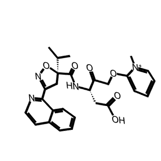 CC(C)[C@]1(C(=O)N[C@@H](CC(=O)O)C(=O)COc2cccc[n+]2C)CC(c2nccc3ccccc23)=NO1